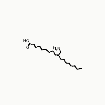 CCCCCCCCC(CN)CCCCCCCCC(=O)O